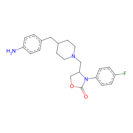 Nc1ccc(CC2CCN(CC3COC(=O)N3c3ccc(F)cc3)CC2)cc1